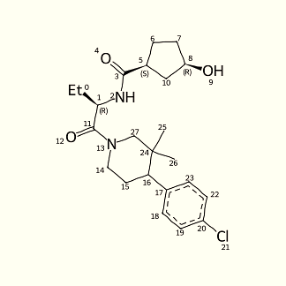 CC[C@@H](NC(=O)[C@H]1CC[C@@H](O)C1)C(=O)N1CCC(c2ccc(Cl)cc2)C(C)(C)C1